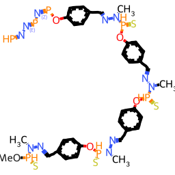 CO[PH](=S)N(C)N=Cc1ccc(O[PH](=S)N(C)N=Cc2ccc(O[PH](=S)N(C)N=Cc3ccc(O[PH](=S)N(C)N=Cc4ccc(O/P=N\P=N\N=P)cc4)cc3)cc2)cc1